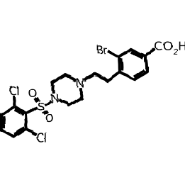 O=C(O)c1ccc(CCN2CCN(S(=O)(=O)c3c(Cl)cccc3Cl)CC2)c(Br)c1